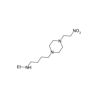 CCNCCCCN1CCN(CC[N+](=O)[O-])CC1